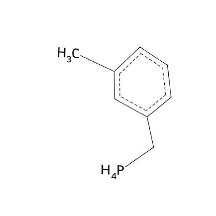 Cc1cccc(C[PH4])c1